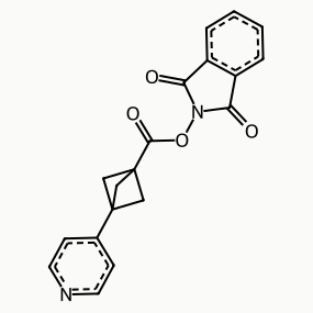 O=C1c2ccccc2C(=O)N1OC(=O)C12CC(c3ccncc3)(C1)C2